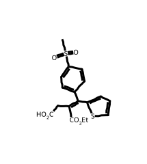 CCOC(=O)C(CC(=O)O)=C(c1ccc(S(C)(=O)=O)cc1)c1cccs1